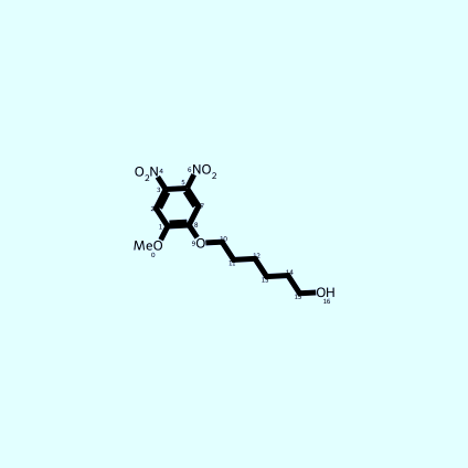 COc1cc([N+](=O)[O-])c([N+](=O)[O-])cc1OCCCCCCO